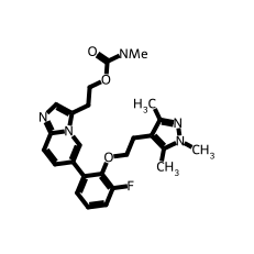 CNC(=O)OCCc1cnc2ccc(-c3cccc(F)c3OCCc3c(C)nn(C)c3C)cn12